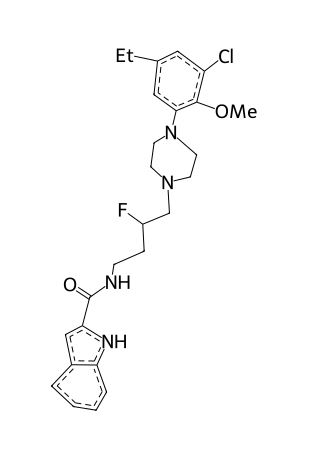 CCc1cc(Cl)c(OC)c(N2CCN(CC(F)CCNC(=O)c3cc4ccccc4[nH]3)CC2)c1